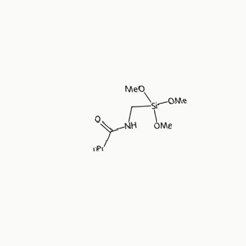 CCCC(=O)NC[Si](OC)(OC)OC